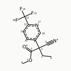 CCC(C#N)(C(=O)OC)c1ccc(C(F)(F)F)nc1